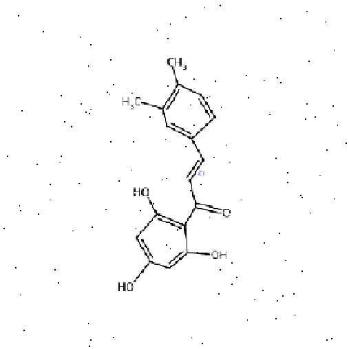 Cc1ccc(/C=C/C(=O)c2c(O)cc(O)cc2O)cc1C